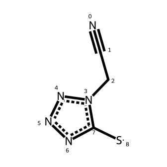 N#CCn1nnnc1[S]